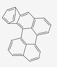 c1cc2cccc3c2c(c1)c1cccc2cc4c5ccc(cc5)c4c3c21